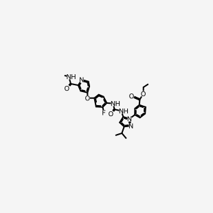 CCOC(=O)c1cccc(-n2nc(C(C)C)cc2NC(=O)Nc2ccc(Oc3ccnc(C(=O)NC)c3)cc2F)c1